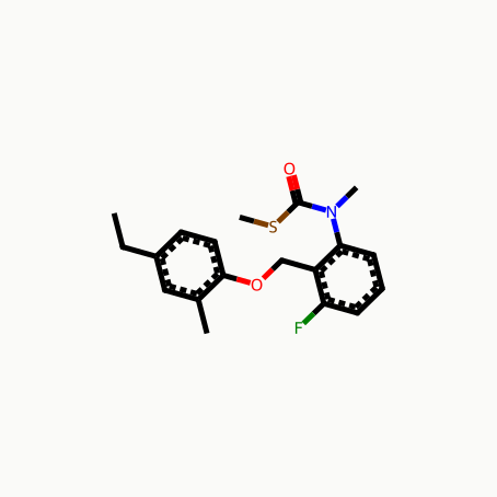 CCc1ccc(OCc2c(F)cccc2N(C)C(=O)SC)c(C)c1